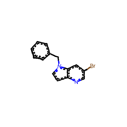 Brc1cnc2ccn(Cc3ccccc3)c2c1